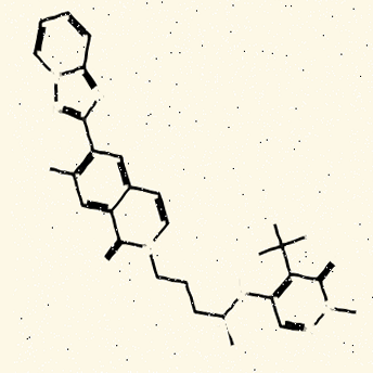 C[C@@H](CCCn1ccc2cc(-c3nc4ccccn4n3)c(F)cc2c1=O)Nc1cnn(C)c(=O)c1C(F)(F)F